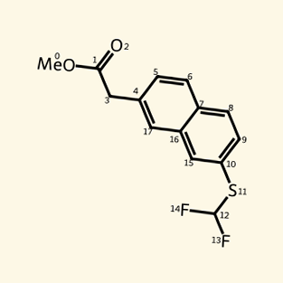 COC(=O)Cc1ccc2ccc(SC(F)F)cc2c1